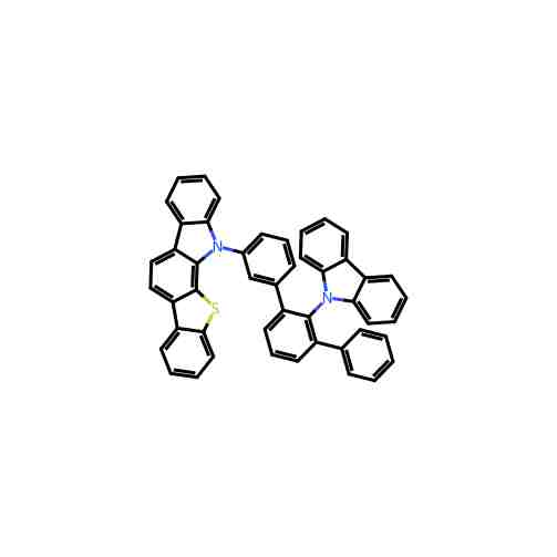 c1ccc(-c2cccc(-c3cccc(-n4c5ccccc5c5ccc6c7ccccc7sc6c54)c3)c2-n2c3ccccc3c3ccccc32)cc1